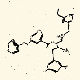 CCc1cccc(CNCC(OC(=O)c2cncc(SCc3ccccc3)c2)C(N)Cc2cc(F)cc(F)c2)c1